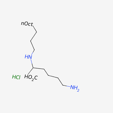 CCCCCCCCCCCNC(CCCCN)C(=O)O.Cl